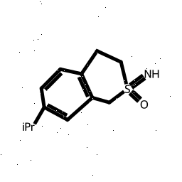 CC(C)c1ccc2c(c1)CS(=N)(=O)CC2